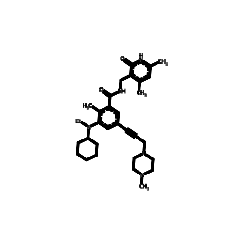 CCN(c1cc(C#CCN2CCN(C)CC2)cc(C(=O)NCc2c(C)cc(C)[nH]c2=O)c1C)C1CCCCC1